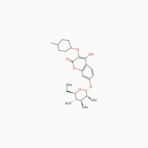 CC(=O)OC[C@H]1O[C@H](Oc2ccc3c(O)c(OC4CCC(C)CC4)c(=O)oc3c2)[C@@H](OC(C)=O)[C@@H](OC(C)=O)[C@@H]1OC(C)=O